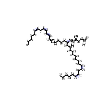 CCCCC/C=C\C/C=C\C=C\C=C=CCCC/C(CCCCCCCCC/C=C\C/C=C\CCCCC)=N/NC(=O)CCNC